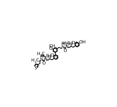 C=CCN(CC(Cc1cccc(-c2cc(CCNC(=O)NCC(Cc3ccc(O)cc3)N(C)C)cc(OC)c2)c1)N(C)C)C(=O)N[C@H](C)Cc1ccsc1